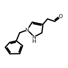 O=CCC1=CN(Cc2ccccc2)NC1